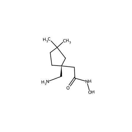 CC1(C)CC[C@@](CN)(CC(=O)NO)C1